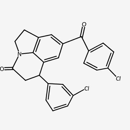 O=C(c1ccc(Cl)cc1)c1cc2c3c(c1)C(c1cccc(Cl)c1)CC(=O)N3CC2